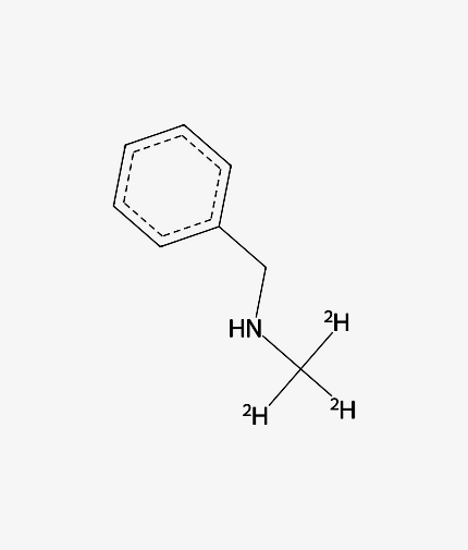 [2H]C([2H])([2H])NCc1ccccc1